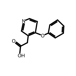 O=C(O)Cc1cnccc1Oc1ccccc1